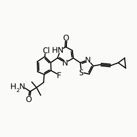 CC(C)(Cc1ccc(Cl)c(-c2nc(-c3nc(C#CC4CC4)cs3)cc(=O)[nH]2)c1F)C(N)=O